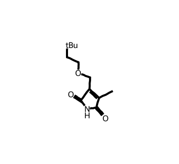 CC1=C(COCCC(C)(C)C)C(=O)NC1=O